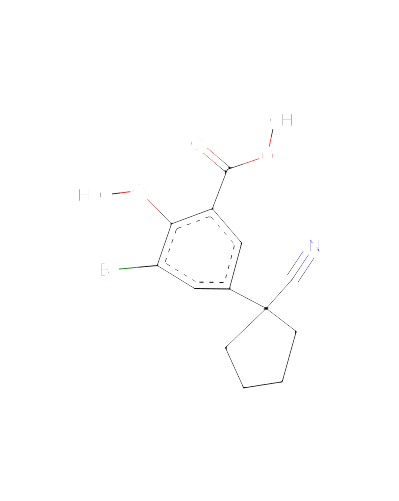 COC(=O)c1cc(C2(C#N)CCCC2)cc(Br)c1OC